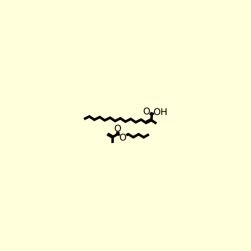 C=C(C)C(=O)OCCCCC.CCCCCCCCCCCCC=C(C)C(=O)O